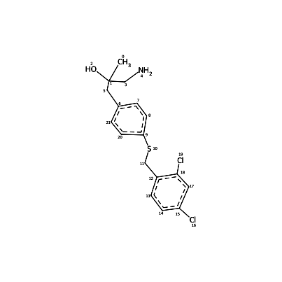 CC(O)(CN)Cc1ccc(SCc2ccc(Cl)cc2Cl)cc1